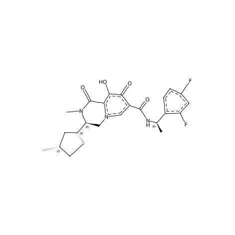 C[C@H]1CC[C@@H]([C@@H]2Cn3cc(C(=O)N[C@H](C)c4ccc(F)cc4F)c(=O)c(O)c3C(=O)N2C)C1